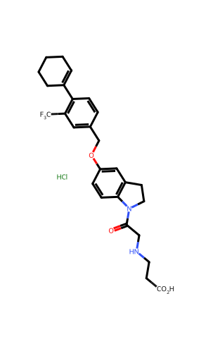 Cl.O=C(O)CCNCC(=O)N1CCc2cc(OCc3ccc(C4=CCCCC4)c(C(F)(F)F)c3)ccc21